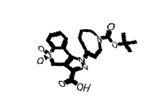 CC(C)(C)OC(=O)N1CCCC(n2nc(C(=O)O)c3c2-c2ccccc2S(=O)(=O)C3)CC1